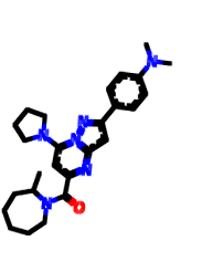 CC1CCCCCN1C(=O)c1cc(N2CCCC2)n2nc(-c3ccc(N(C)C)cc3)cc2n1